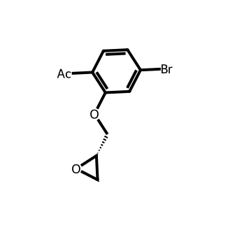 CC(=O)c1ccc(Br)cc1OC[C@@H]1CO1